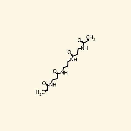 C=CC(=O)NCCC(=O)NCCCNC(=O)CCNC(=O)C=C